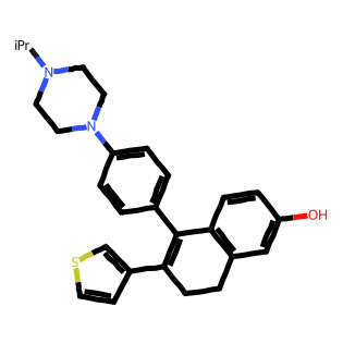 CC(C)N1CCN(c2ccc(C3=C(c4ccsc4)CCc4cc(O)ccc43)cc2)CC1